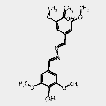 C=C(O)/C(=C\C(C=NN=Cc1cc(OC)c(O)c(OC)c1)=C/COC)OC